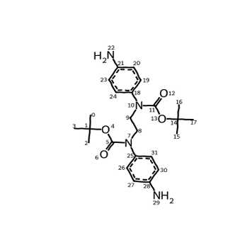 CC(C)(C)OC(=O)N(CCN(C(=O)OC(C)(C)C)c1ccc(N)cc1)c1ccc(N)cc1